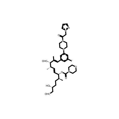 C/C(=C\c1cc(F)cc(N2CCN(C(=O)Cn3cccn3)CC2)c1)[C@@H](C=O)[C@@H](C)/C=C/[C@H](OC(=O)N1CCOCC1)[C@@H](C)CC[C@@H](O)CC=O